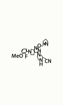 COc1cccc(N2CCc3c(nc(OC[C@@H]4CCCN4C)nc3N3CCNC(CC#N)C3)C2)c1F